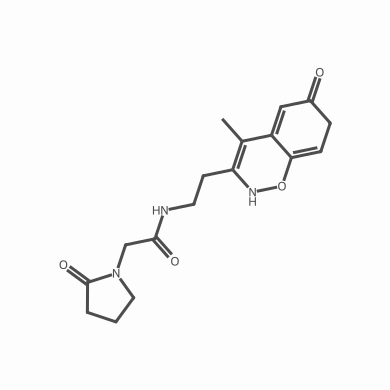 CC1=C(CCNC(=O)CN2CCCC2=O)NOC2=CCC(=O)C=C21